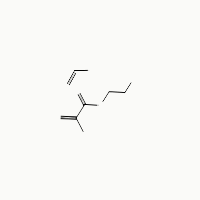 C=C(C)C(=O)OCCO.C=CCl